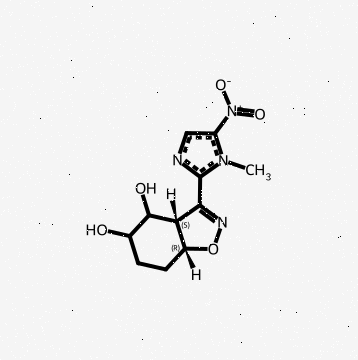 Cn1c([N+](=O)[O-])cnc1C1=NO[C@@H]2CCC(O)C(O)[C@H]12